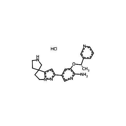 C[C@H](Oc1cc(-c2cc3n(n2)CCC32CCNC2)cnc1N)c1cccnc1.Cl